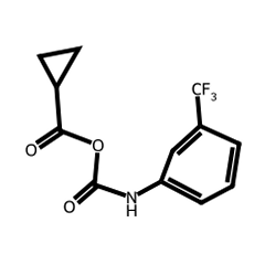 O=C(Nc1cccc(C(F)(F)F)c1)OC(=O)C1CC1